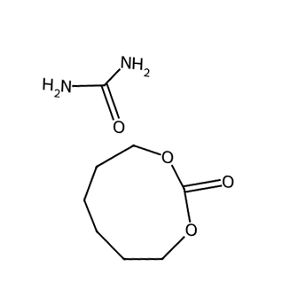 NC(N)=O.O=C1OCCCCCCO1